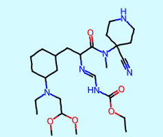 CCOC(=O)NC=NC(CC1CCCC(N(CC)CC(OC)OC)C1)C(=O)N(C)C1(C#N)CCNCC1